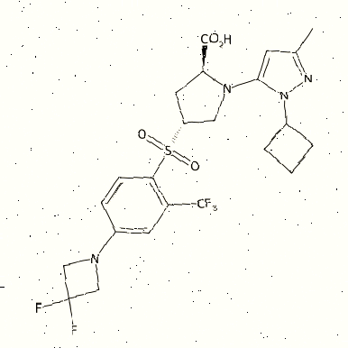 Cc1cc(N2C[C@H](S(=O)(=O)c3ccc(N4CC(F)(F)C4)cc3C(F)(F)F)C[C@H]2C(=O)O)n(C2CCC2)n1